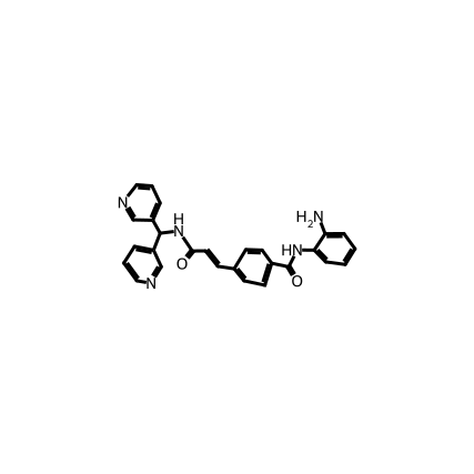 Nc1ccccc1NC(=O)c1ccc(C=CC(=O)NC(c2cccnc2)c2cccnc2)cc1